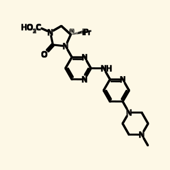 CC(C)[C@H]1CN(C(=O)O)C(=O)N1c1ccnc(Nc2ccc(N3CCN(C)CC3)cn2)n1